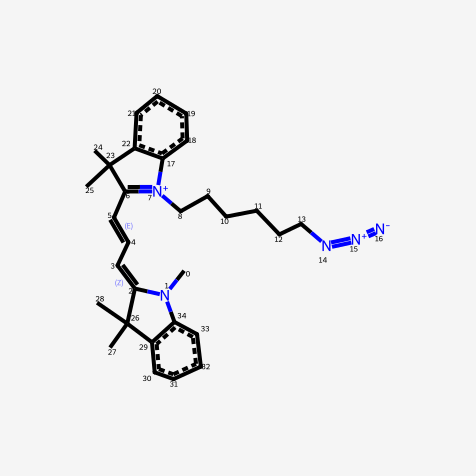 CN1/C(=C\C=C\C2=[N+](CCCCCCN=[N+]=[N-])c3ccccc3C2(C)C)C(C)(C)c2ccccc21